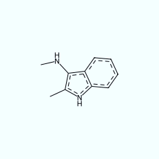 CNc1c(C)[nH]c2ccccc12